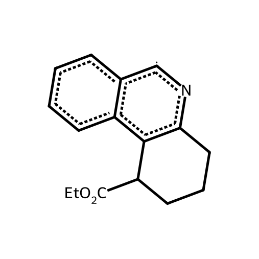 CCOC(=O)C1CCCc2n[c]c3ccccc3c21